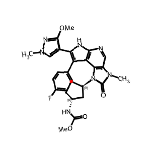 COC(=O)N[C@@H]1CC[C@@H](n2c(=O)n(C)c3cnc4[nH]c(-c5cn(C)nc5OC)c(-c5ccc(F)cc5)c4c32)C1